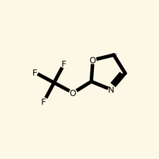 FC(F)(F)OC1N=C[C]O1